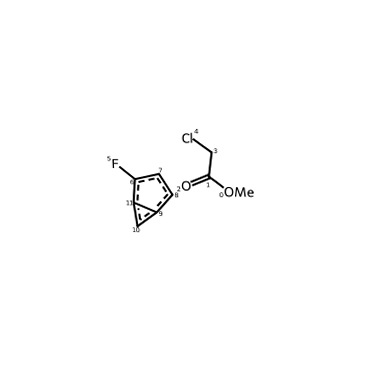 COC(=O)CCl.Fc1ccc2cc1-2